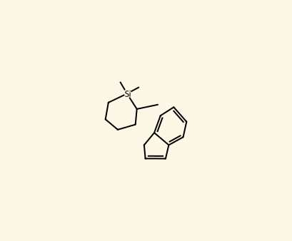 C1=Cc2ccccc2C1.CC1CCCC[Si]1(C)C